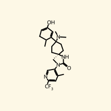 Cc1cc(C(F)(F)F)ncc1N1C[C@]2(CC[C@](C3=CC(O)=CCC3C)(N(C)C)CC2)NC1=O